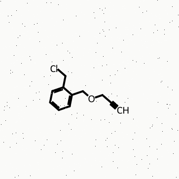 C#CCOCc1ccccc1CCl